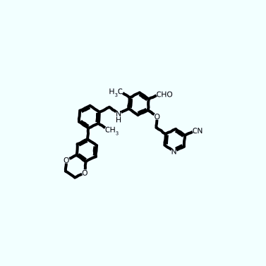 Cc1cc(C=O)c(OCc2cncc(C#N)c2)cc1NCc1cccc(-c2ccc3c(c2)OCCO3)c1C